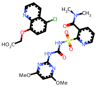 COc1cc(OC)nc(NC(=O)NS(=O)(=O)c2ncccc2C(=O)N(C)C)n1.O=C(O)COc1ccc(Cl)c2cccnc12